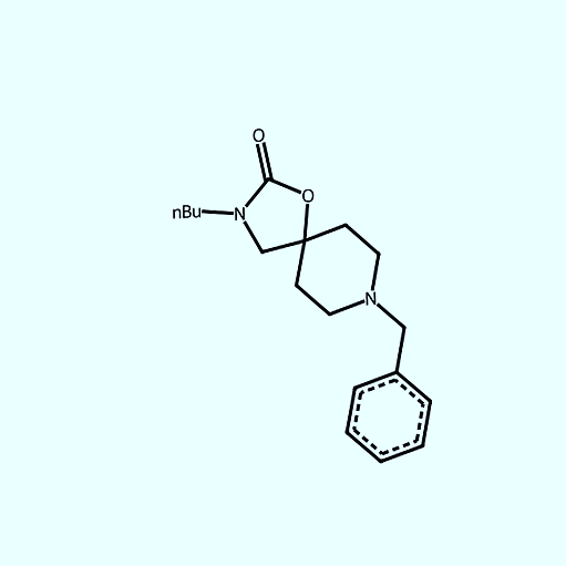 CCCCN1CC2(CCN(Cc3ccccc3)CC2)OC1=O